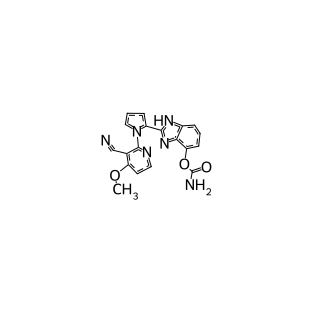 COc1ccnc(-n2cccc2-c2nc3c(OC(N)=O)cccc3[nH]2)c1C#N